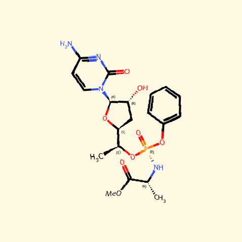 COC(=O)[C@@H](C)N[P@](=O)(Oc1ccccc1)O[C@@H](C)[C@@H]1C[C@@H](O)[C@H](n2ccc(N)nc2=O)O1